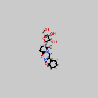 O=c1ccn([C@@H]2O[C@H](CO)C(O)[C@@H]2O)c(=O)n1Cc1noc2ccccc12